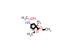 CCOC(=O)[C@@]1(C)C[C@@H](NB(C)O)C[C@H]1CC